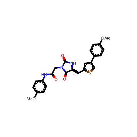 COc1ccc(NC(=O)CN2C(=O)N/C(=C\c3cc(-c4ccc(OC)cc4)cs3)C2=O)cc1